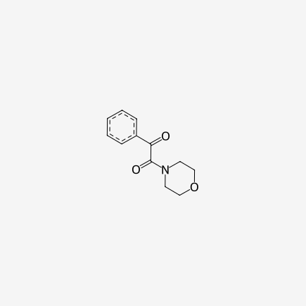 O=C(C(=O)N1CCOCC1)c1ccccc1